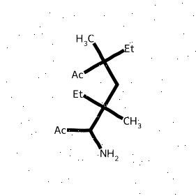 CCC(C)(CC(C)(CC)C(N)C(C)=O)C(C)=O